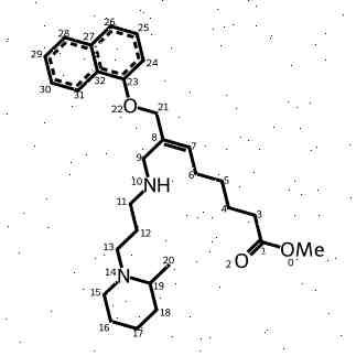 COC(=O)CCCCC=C(CNCCCN1CCCCC1C)COc1cccc2ccccc12